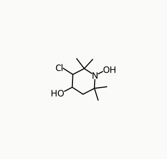 CC1(C)CC(O)C(Cl)C(C)(C)N1O